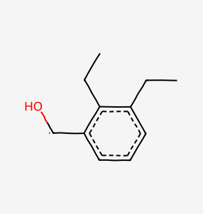 CCc1cccc([CH]O)c1CC